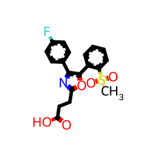 CS(=O)(=O)c1ccccc1-c1oc(CCC(=O)O)nc1-c1ccc(F)cc1